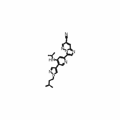 CC(C)CCn1cc(-c2cnc(-c3cnc4cc(C#N)cnn34)cc2NC(C)C)cn1